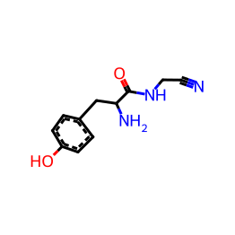 N#CCNC(=O)C(N)Cc1ccc(O)cc1